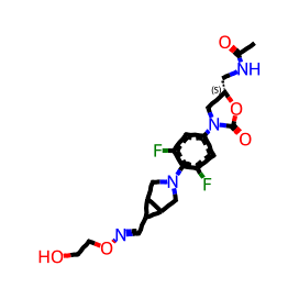 CC(=O)NC[C@H]1CN(c2cc(F)c(N3CC4C(C=NOCCO)C4C3)c(F)c2)C(=O)O1